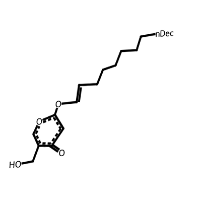 CCCCCCCCCCCCCCCCC=COc1cc(=O)c(CO)co1